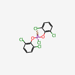 S=P(Cl)(Oc1c(Cl)cccc1Cl)Oc1c(Cl)cccc1Cl